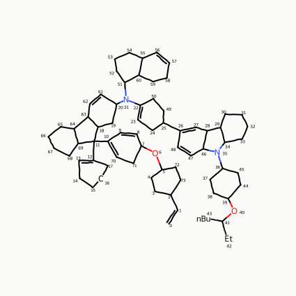 C=CC1CCC(OC2C=CC(C3(C4=CCCCC4)C4CC(N(C5=CCC(C6=CC7C8CCCCC8N(C8CCC(OC(CC)CCCC)CC8)C7C=C6)CC5)C5CCCC6C=CCCC65)C=CC4C4CCCCC43)=CC2)CC1